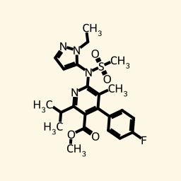 CCn1nccc1N(c1nc(C(C)C)c(C(=O)OC)c(-c2ccc(F)cc2)c1C)S(C)(=O)=O